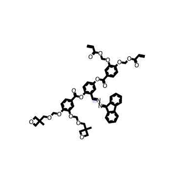 C=CC(=O)OCOc1ccc(C(=O)Oc2ccc(OC(=O)c3ccc(OCOCC4(C)COC4)c(OCOCC4(C)COC4)c3)c(/C=N/N=C3c4ccccc4-c4ccccc43)c2)cc1OCOC(=O)C=C